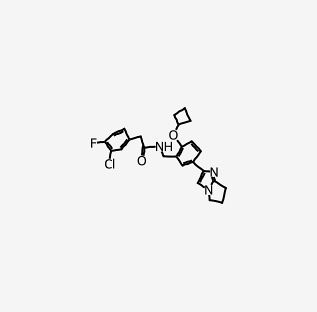 O=C(Cc1ccc(F)c(Cl)c1)NCc1cc(-c2cn3c(n2)CCC3)ccc1OC1CCC1